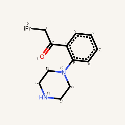 CC(C)CC(=O)c1ccccc1N1CCNCC1